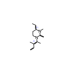 C=C/C(C)=C(\C)N1CC/C(=C\C)N(C)C1=C